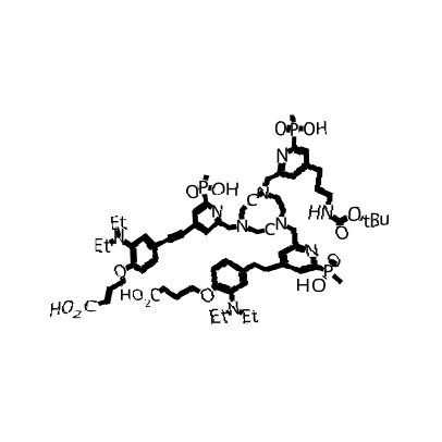 CCN(CC)c1cc(C#Cc2cc(CN3CCN(Cc4cc(CCCNC(=O)OC(C)(C)C)cc(P(C)(=O)O)n4)CCN(Cc4cc(CCc5ccc(OCCCC(=O)O)c(N(CC)CC)c5)cc(P(C)(=O)O)n4)CC3)nc(P(C)(=O)O)c2)ccc1OCCCC(=O)O